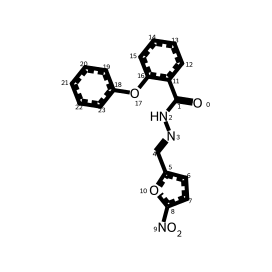 O=C(N/N=C/c1ccc([N+](=O)[O-])o1)c1ccccc1Oc1ccccc1